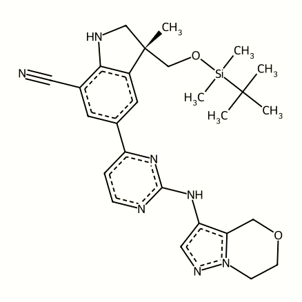 CC(C)(C)[Si](C)(C)OC[C@@]1(C)CNc2c(C#N)cc(-c3ccnc(Nc4cnn5c4COCC5)n3)cc21